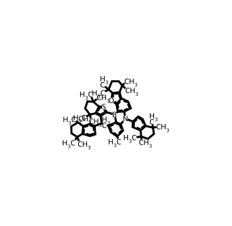 Cc1cc(C)c2c(c1)N(c1ccc3c(c1)C(C)(C)CCC3(C)C)c1ccc3c4c(oc3c1B2c1sc2c(c1Cc1ccc3c(c1)C(C)(C)CCC3(C)C)C(C)(C)CCC2(C)C)C(C)(C)CCC4(C)C